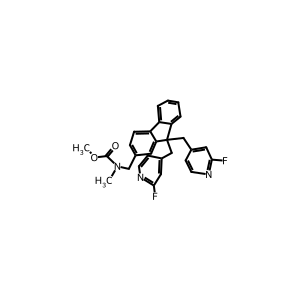 COC(=O)N(C)Cc1ccc2c(c1)C(Cc1ccnc(F)c1)(Cc1ccnc(F)c1)c1ccccc1-2